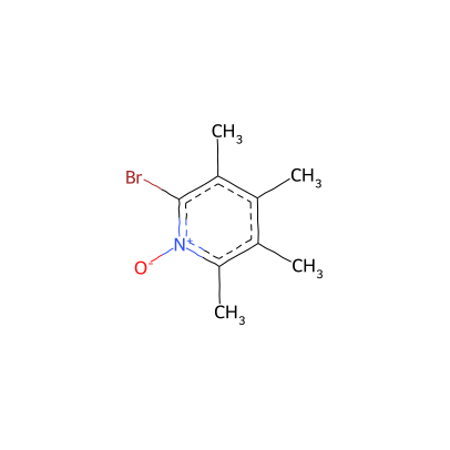 Cc1c(C)c(C)[n+]([O-])c(Br)c1C